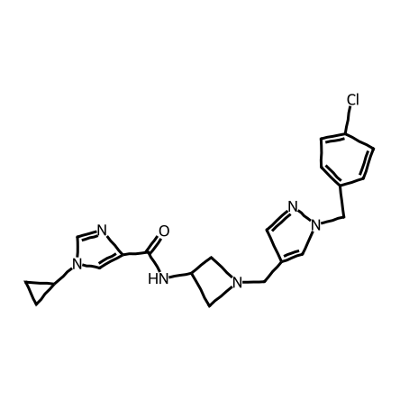 O=C(NC1CN(Cc2cnn(Cc3ccc(Cl)cc3)c2)C1)c1cn(C2CC2)cn1